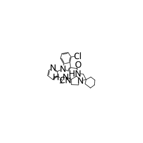 N#Cc1cccnc1-n1cc(C(=O)NCC2(N3CC[C@@H](N)C3)CCCCC2)c2c(Cl)cccc21